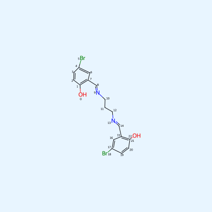 Oc1ccc(Br)cc1/C=N/CCC/N=C/c1cc(Br)ccc1O